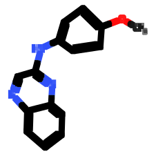 FC(F)(F)Oc1ccc(Nc2cnc3ccccc3n2)cc1